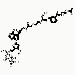 COC1CC(n2cc(C#CCNC(=O)COCCOC(COc3cccc(C(=O)NCCNC(C)=O)c3)N=[N+]=[N-])c3c(N)ncnc32)OC1COP(=O)(O)OP(=O)(O)OP(=O)(O)O